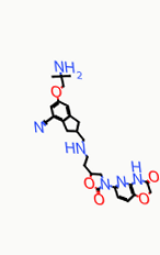 CC(C)(N)COc1cc(C#N)c2c(c1)CC(CNCCC1CN(c3ccc4c(n3)NC(=O)CO4)C(=O)O1)C2